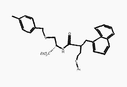 CCOC(=O)[C@H](CSCc1ccc(C)cc1)NC(=O)C(CSC(C)=O)Cc1cccc2ccccc12